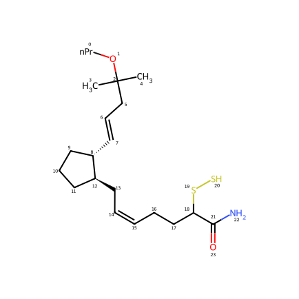 CCCOC(C)(C)C/C=C/[C@H]1CCC[C@@H]1C/C=C\CCC(SS)C(N)=O